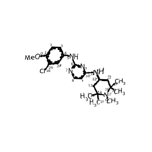 COc1ccc(Nc2nccc(NC3CC(C)(C)N(C)C(C)(C)C3)n2)cc1Cl